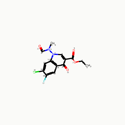 CCOC(=O)c1cn(N(C)C=O)c2cc(Cl)c(F)cc2c1=O